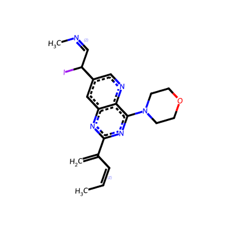 C=C(/C=C\C)c1nc(N2CCOCC2)c2ncc(C(I)/C=N\C)cc2n1